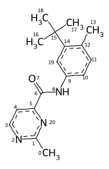 Cc1nccc(C(=O)Nc2ccc(C)c(C(C)(C)C)c2)n1